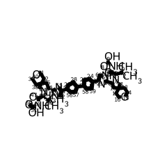 CC(C)C(C(=O)NC(=O)O)N1CC2(CCOCC2)CC1c1nc(-c2ccc(-c3ccc(-c4c[nH]c([C@@H]5CC6(CCOCC6)CN5[C@H](C(=O)NC(=O)O)C(C)C)n4)cc3)cc2)c[nH]1